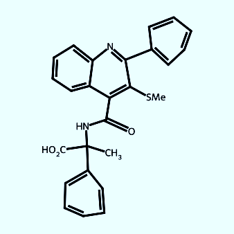 CSc1c(-c2ccccc2)nc2ccccc2c1C(=O)NC(C)(C(=O)O)c1ccccc1